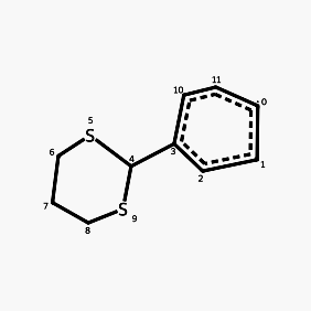 [c]1ccc(C2SCCCS2)cc1